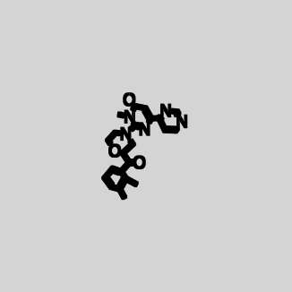 Cc1cccc(C(=O)C2CN(c3nc(-c4ccncn4)cc(=O)n3C)CCO2)c1C